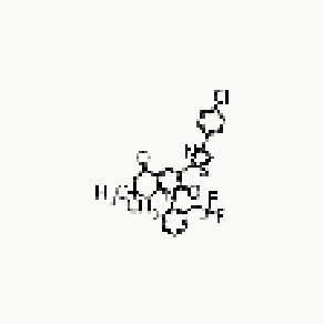 CC1(C)CC(=O)c2cc(-c3nc(-c4ccc(Cl)cc4)cs3)c(=O)n(-c3ccccc3CC(F)(F)F)c2C1